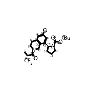 C[C@H](C(=O)N1CCc2cc(Cl)cc([C@@H]3CCCN3C(=O)OC(C)(C)C)c2C1)C(F)(F)F